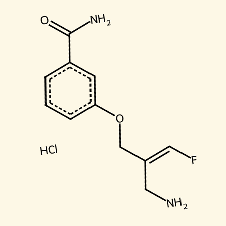 Cl.NCC(=CF)COc1cccc(C(N)=O)c1